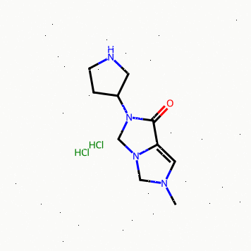 CN1C=C2C(=O)N(C3CCNC3)CN2C1.Cl.Cl